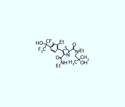 CCNC(=O)c1nc(C(=O)N(CC)CC(C)(C)O)sc1-c1ccc(C(O)(C(F)(F)F)C(F)(F)F)cc1CC